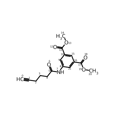 C#CCCCC(=O)Nc1cc(C(=O)OC)cc(C(=O)OC)c1